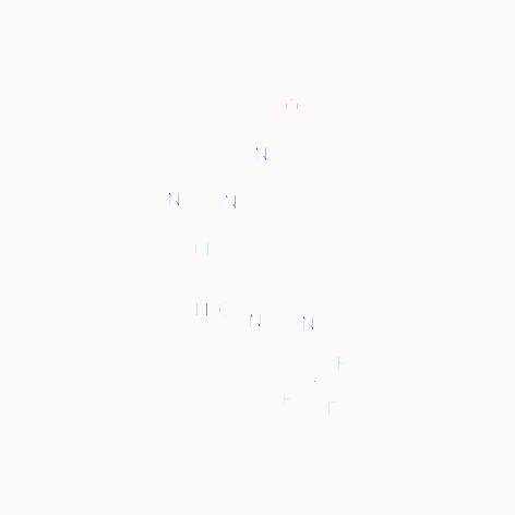 Cn1cc(C(F)(F)F)nc1-c1ccc(Cn2c(=O)ccc3cnc(Cl)nc32)cc1